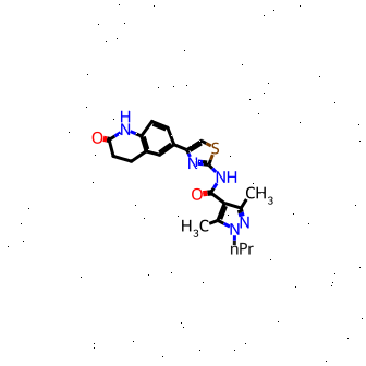 CCCn1nc(C)c(C(=O)Nc2nc(-c3ccc4c(c3)CCC(=O)N4)cs2)c1C